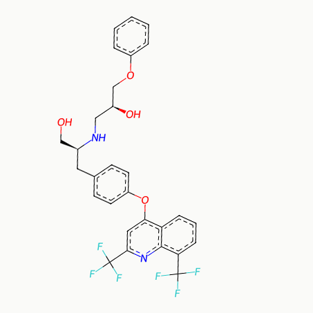 OC[C@H](Cc1ccc(Oc2cc(C(F)(F)F)nc3c(C(F)(F)F)cccc23)cc1)NC[C@H](O)COc1ccccc1